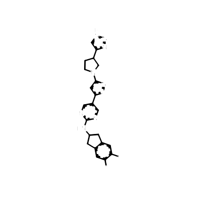 Fc1cc2c(cc1F)CC(Nc1ncc(-c3cc(N4CCC(c5c[nH]nn5)C4)no3)cn1)C2